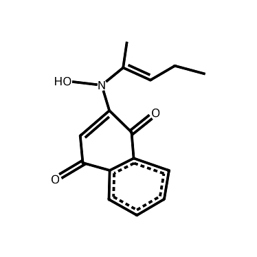 CCC=C(C)N(O)C1=CC(=O)c2ccccc2C1=O